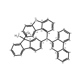 CC1(C)c2ccccc2-c2ccc(N(c3nc4ccccc4c4ccccc34)c3cccc4oc5ccccc5c34)cc21